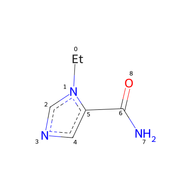 CCn1cncc1C(N)=O